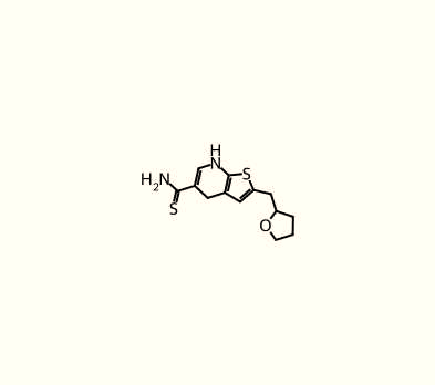 NC(=S)C1=CNc2sc(CC3CCCO3)cc2C1